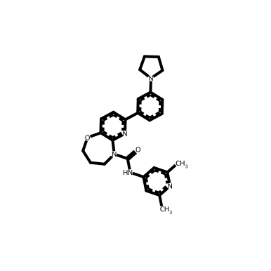 Cc1cc(NC(=O)N2CCCOc3ccc(-c4cccc(N5CCCC5)c4)nc32)cc(C)n1